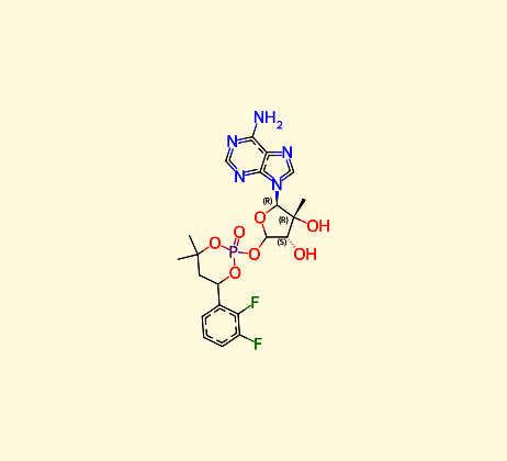 CC1(C)CC(c2cccc(F)c2F)OP(=O)(OC2O[C@@H](n3cnc4c(N)ncnc43)[C@](C)(O)[C@@H]2O)O1